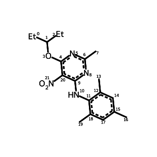 CCC(CC)Oc1nc(C)nc(Nc2c(C)cc(C)cc2C)c1[N+](=O)[O-]